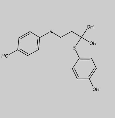 Oc1ccc(SCCC(O)(O)Sc2ccc(O)cc2)cc1